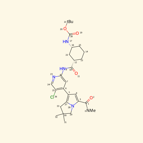 CNC(=O)c1cc(-c2cc(NC(=O)[C@H]3CCC[C@@H](NC(=O)OC(C)(C)C)C3)ncc2Cl)c2n1CC(C)(C)C2